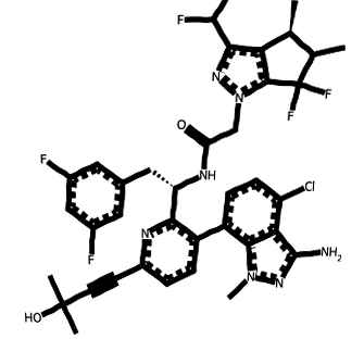 CC1[C@H](C)c2c(C(F)F)nn(CC(=O)N[C@@H](Cc3cc(F)cc(F)c3)c3nc(C#CC(C)(C)O)ccc3-c3ccc(Cl)c4c(N)nn(C)c34)c2C1(F)F